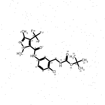 Cc1nn(C)c(C(=O)Nc2ccc(Cl)c(CNC(=O)OC(C)(C)C)c2)c1C(F)(F)F